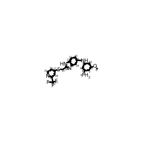 COc1cc(P)cc(Nc2ccc3[nH]c(CSc4ccnc(C(F)(F)F)c4)nc3c2)c1